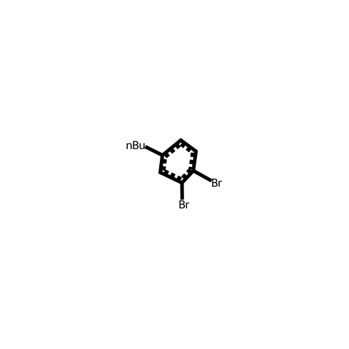 [CH2]CCCc1ccc(Br)c(Br)c1